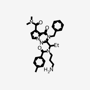 CCC(c1nn2ccc(C(=O)N(C)C)c2c(=O)n1Cc1ccccc1)N(CCCN)C(=O)c1ccc(C)cc1